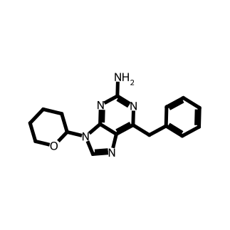 Nc1nc(Cc2ccccc2)c2ncn(C3CCCCO3)c2n1